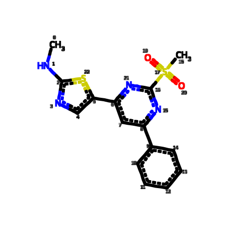 CNc1ncc(-c2cc(-c3ccccc3)nc(S(C)(=O)=O)n2)s1